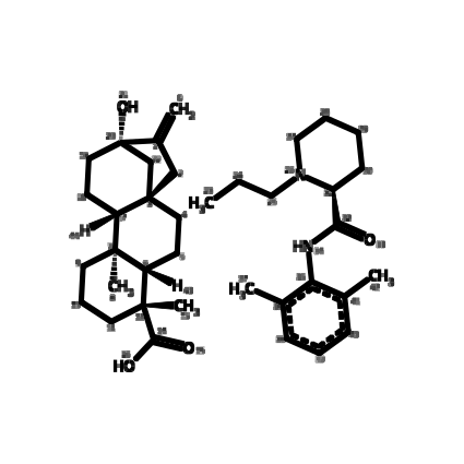 C=C1C[C@@]23CC[C@H]4[C@@](C)(CCC[C@@]4(C)C(=O)O)[C@@H]2CC[C@]1(O)C3.CCCN1CCCC[C@H]1C(=O)Nc1c(C)cccc1C